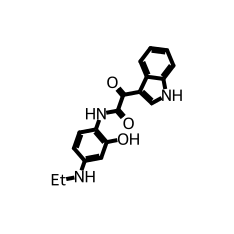 CCNc1ccc(NC(=O)C(=O)c2c[nH]c3ccccc23)c(O)c1